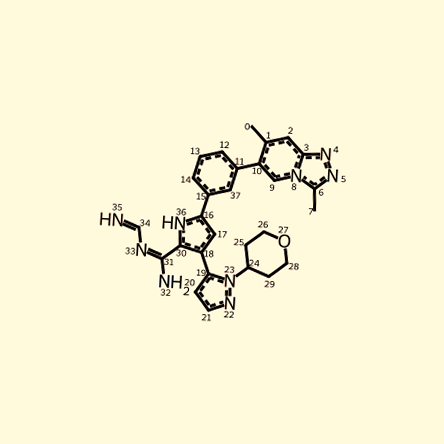 Cc1cc2nnc(C)n2cc1-c1cccc(-c2cc(-c3ccnn3C3CCOCC3)c(/C(N)=N\C=N)[nH]2)c1